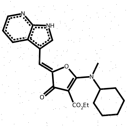 CCOC(=O)C1=C(N(C)C2CCCCC2)OC(=Cc2c[nH]c3ncccc23)C1=O